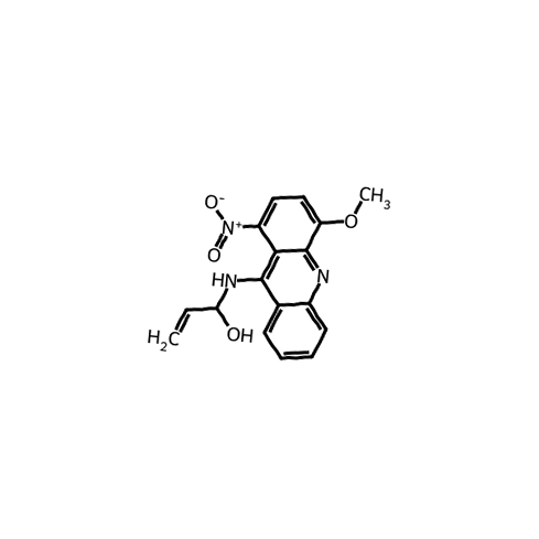 C=CC(O)Nc1c2ccccc2nc2c(OC)ccc([N+](=O)[O-])c12